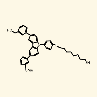 COc1cccc(-c2ccc3c(c2)c2cc(-c4cccc(CO)c4)ccc2n3-c2ccc(OCCCCCCCCS)cc2)c1